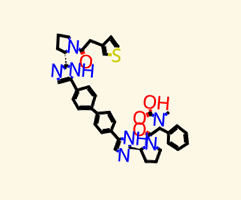 CN(C(=O)O)[C@@H](C(=O)N1CCC[C@H]1c1ncc(-c2ccc(-c3ccc(-c4cnc([C@@H]5CCCN5C(=O)Cc5ccsc5)[nH]4)cc3)cc2)[nH]1)c1ccccc1